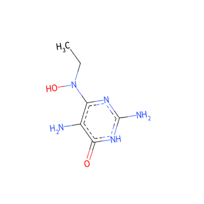 CCN(O)c1nc(N)[nH]c(=O)c1N